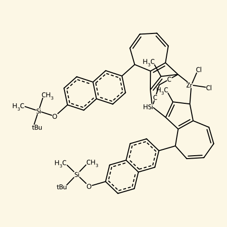 CC1=C2C3=C(C=CC=CC3c3ccc4cc(O[Si](C)(C)C(C)(C)C)ccc4c3)[CH]1[Zr]([Cl])([Cl])[C]13CCC[SiH]2C(=C1C)C1=C3C=CC=CC1c1ccc2cc(O[Si](C)(C)C(C)(C)C)ccc2c1